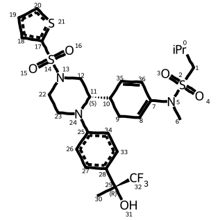 CC(C)CS(=O)(=O)N(C)C1=CCC([C@H]2CN(S(=O)(=O)c3cccs3)CCN2c2ccc([C@@](C)(O)C(F)(F)F)cc2)C=C1